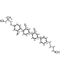 C=C(CO)CCc1ccc(-c2ccc(-c3ccc(-c4ccc(CCCCC)cc4)cc3F)cc2F)c(F)c1